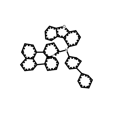 c1ccc(-c2ccc(N(c3ccc(-c4cccc5cccc(-c6ccccc6)c45)cc3)c3cccc4oc5ccccc5c34)cc2)cc1